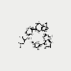 CC(C)CC(=O)Nc1cncc(-c2cc3c(-c4nc5c(-c6ccc(F)s6)cncc5[nH]4)n[nH]c3cn2)c1